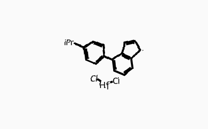 CC(C)c1ccc(-c2cccc3c2C=C[CH]3)cc1.[Cl][Hf][Cl]